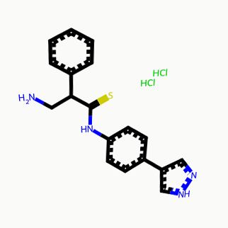 Cl.Cl.NCC(C(=S)Nc1ccc(-c2cn[nH]c2)cc1)c1ccccc1